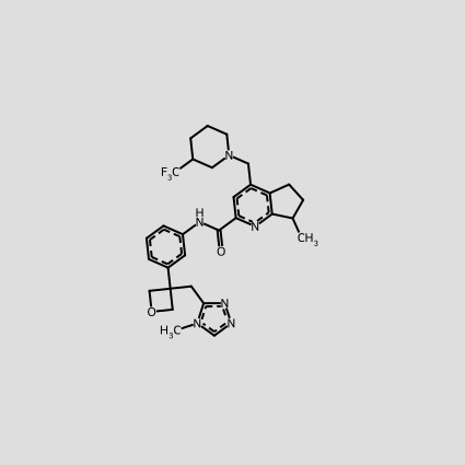 CC1CCc2c(CN3CCCC(C(F)(F)F)C3)cc(C(=O)Nc3cccc(C4(Cc5nncn5C)COC4)c3)nc21